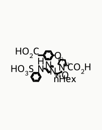 CCCCCC[C@H](C(=O)N1C[C@@H](Oc2ccc(CC(=O)O)cc2)C[C@H]1C(=O)O)n1cnc(Nc2ccccc2S(=O)(=O)O)c1